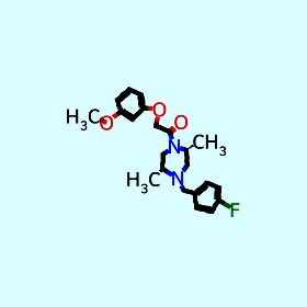 COc1cccc(OCC(=O)N2C[C@H](C)N(Cc3ccc(F)cc3)C[C@H]2C)c1